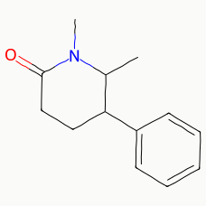 CC1C(c2ccccc2)CCC(=O)N1C